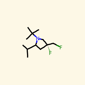 CC(C)C1C[C@](F)(CF)CN1C(C)(C)C